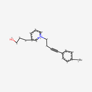 CCCCc1ccc(C#CCC[n+]2cccc(CCCO)c2)cc1